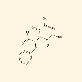 C=C(C)C(=O)N(C(=O)CN)[C@@H](Cc1ccccc1)C(=O)O